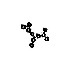 c1ccc(-c2ccc(N(c3ccc(-c4ccc5c(c4)c4ccccc4n5-c4ccccc4)cc3)c3ccc(-c4cc(-c5ccccc5)cc(-c5ccccc5)n4)cc3)cc2)cc1